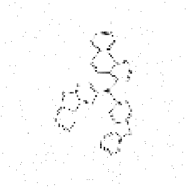 c1ccc2c(c1)ccc1c(N(c3ccc4oc5ccccc5c4c3)c3ccc4oc5ccccc5c4c3)cccc12